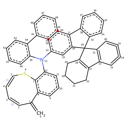 C=C1/C=C\C=C/Sc2c1cccc2N(c1ccc2c(c1)C1(C3=C(C=C=C=C3)C3=C1CCCC3)c1ccccc1-2)c1ccccc1-c1ccccc1